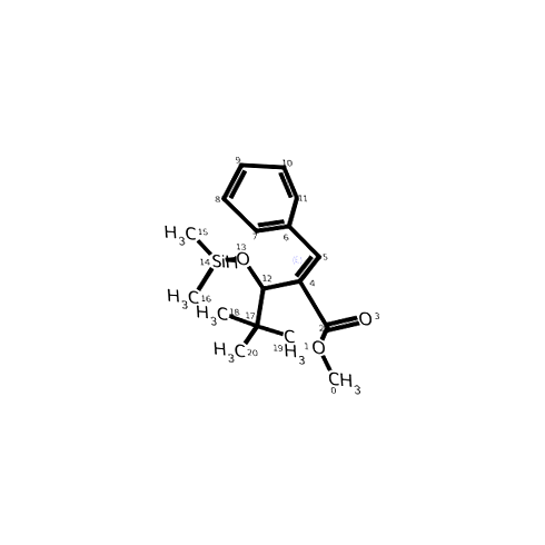 COC(=O)/C(=C/c1ccccc1)C(O[SiH](C)C)C(C)(C)C